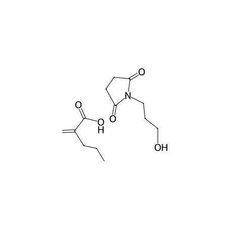 C=C(CCC)C(=O)O.O=C1CCC(=O)N1CCCO